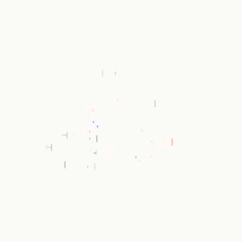 CCOC1=C(C)C(Cc2ccccc2)(C(=O)O)C(C)C(O[Si](C)(C)C(C)(C)C)=C1[N+](=O)[O-]